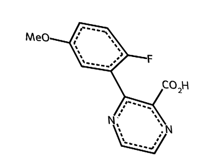 COc1ccc(F)c(-c2nccnc2C(=O)O)c1